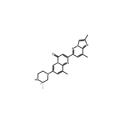 Cc1cn2nc(-c3cc(=O)n4cc(N5CCN[C@@H](C)C5)cc(C)c4n3)cc(C)c2n1